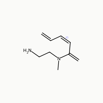 C=C/C=C\C(=C)N(C)CCN